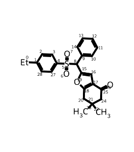 CCc1ccc(S(=O)(=O)C(c2ccccc2)c2cc3c(o2)CC(C)(C)CC3=O)cc1